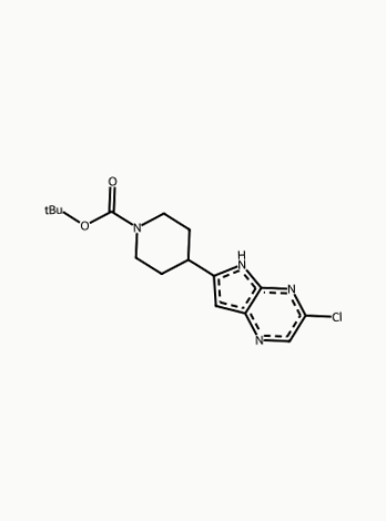 CC(C)(C)OC(=O)N1CCC(c2cc3ncc(Cl)nc3[nH]2)CC1